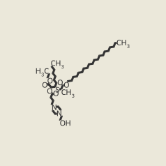 CCCCCCCCCCCCCCCCCCCCOC(=O)C(C)SC(CCCCCCC)C(OC(=O)CCCN1CCN(CCO)CC1)C(=O)OCCC